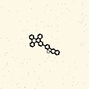 c1ccc2cc3c(cc2c1)oc1cc(-c2ccc4c(c2)c2ccccc2c2c5ccccc5c5ccccc5c42)ccc13